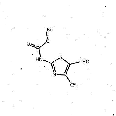 CC(C)(C)OC(=O)Nc1nc(C(F)(F)F)c(C=O)s1